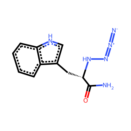 [N-]=[N+]=NN[C@@H](Cc1c[nH]c2ccccc12)C(N)=O